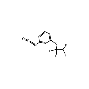 O=C=Nc1cccc(SC(F)(F)C(F)F)c1